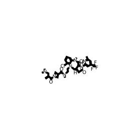 C=C(CN(C)C)C(=O)N1CC(C(=O)N(C)CCN2C[C@H]3CC(=O)N(c4cc(C(F)(F)F)cc(C)n4)[C@@H]3C(=O)N(C)c3cccc(Cl)c32)C1